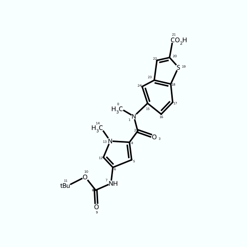 CN(C(=O)c1cc(NC(=O)OC(C)(C)C)cn1C)c1ccc2sc(C(=O)O)cc2c1